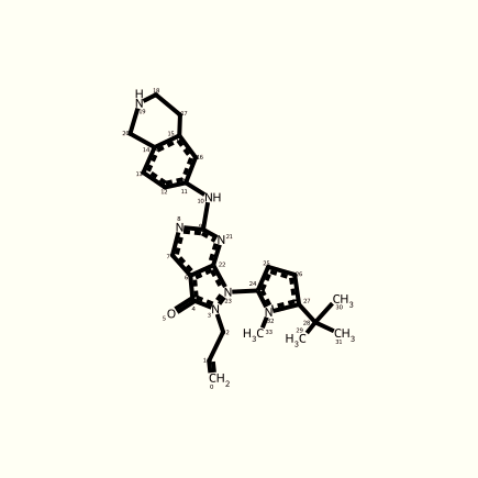 C=CCn1c(=O)c2cnc(Nc3ccc4c(c3)CCNC4)nc2n1-c1ccc(C(C)(C)C)n1C